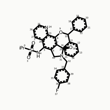 CC(C)S(=O)(=O)Nc1c2c(c(OC(c3ccccc3)c3ccccc3)c3ncccc13)C(=O)N(Cc1ccc(F)cc1)C2